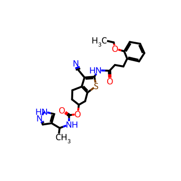 CCOc1ccccc1CCC(=O)Nc1sc2c(c1C#N)CCC(OC(=O)NC(C)c1cn[nH]c1)C2